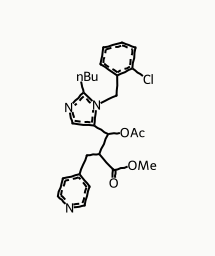 CCCCc1ncc(C(OC(C)=O)C(Cc2ccncc2)C(=O)OC)n1Cc1ccccc1Cl